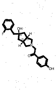 O=C(CN1C[C@@H]2C[C@](O)(Cc3ccccc3F)C[C@@H]2C1)c1ccc(O)cc1